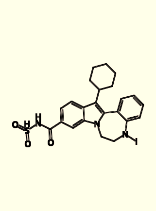 O=C(N[SH](=O)=O)c1ccc2c(C3CCCCC3)c3n(c2c1)CCN(I)c1ccccc1-3